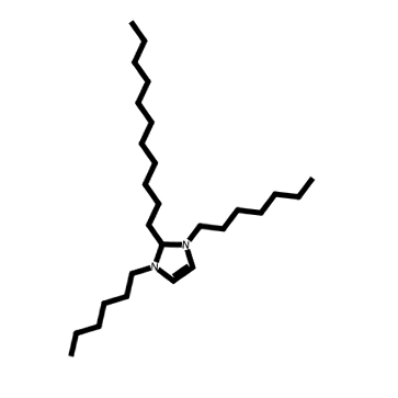 CCCCCCCCCCCC1N(CCCCCC)C=CN1CCCCCCC